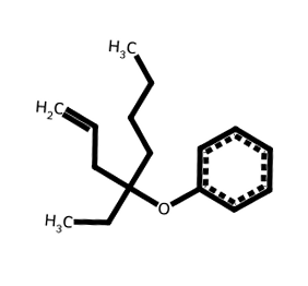 C=CCC(CC)(CCCC)Oc1ccccc1